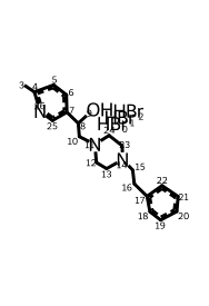 Br.Br.Br.Cc1ccc(C(O)CN2CCN(CCc3ccccc3)CC2)cn1